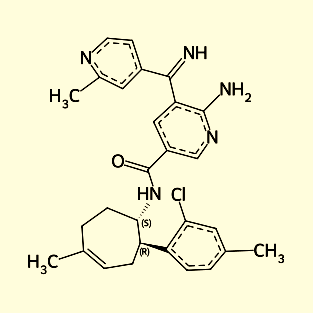 CC1=CC[C@H](c2ccc(C)cc2Cl)[C@@H](NC(=O)c2cnc(N)c(C(=N)c3ccnc(C)c3)c2)CC1